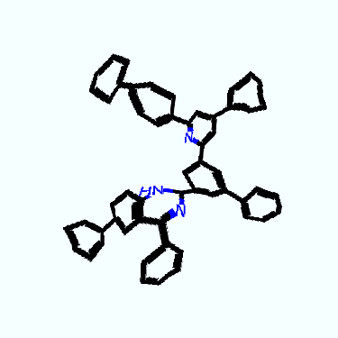 c1ccc(C2=NC(c3cc(-c4ccccc4)cc(-c4cc(-c5ccccc5)cc(-c5ccc(-c6ccccc6)cc5)n4)c3)Nc3ccc(-c4ccccc4)cc32)cc1